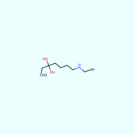 CC(C)CNCCCCC(O)(O)CC=O